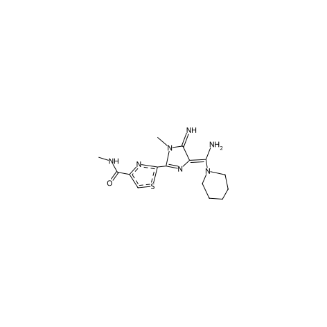 CNC(=O)c1csc(C2=N/C(=C(/N)N3CCCCC3)C(=N)N2C)n1